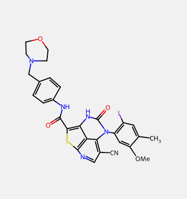 COc1cc(N2C(=O)Nc3c(C(=O)Nc4ccc(CN5CCOCC5)cc4)sc4ncc(C#N)c2c34)c(I)cc1C